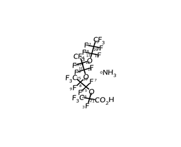 N.O=C(O)C(F)(OC(F)(F)C(F)(OC(F)(F)C(F)(OC(F)(F)C(F)(F)C(F)(F)F)C(F)(F)F)C(F)(F)F)C(F)(F)F